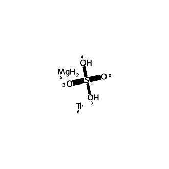 O=S(=O)(O)O.[MgH2].[Tl]